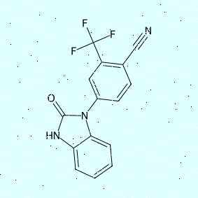 N#Cc1ccc(-n2c(=O)[nH]c3ccccc32)cc1C(F)(F)F